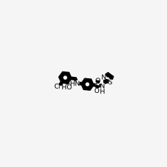 O=S(=O)(Nc1nccs1)c1ccc(NCc2cccc(Cl)c2O)cc1